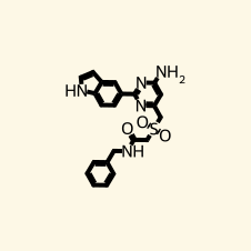 Nc1cc(CS(=O)(=O)CC(=O)NCc2ccccc2)nc(-c2ccc3[nH]ccc3c2)n1